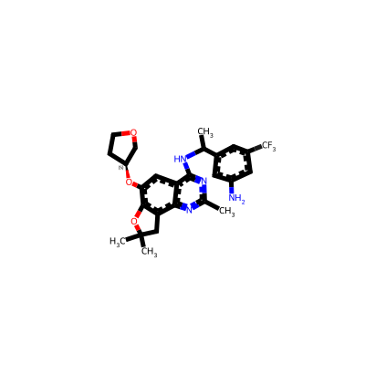 Cc1nc(NC(C)c2cc(N)cc(C(F)(F)F)c2)c2cc(O[C@H]3CCOC3)c3c(c2n1)CC(C)(C)O3